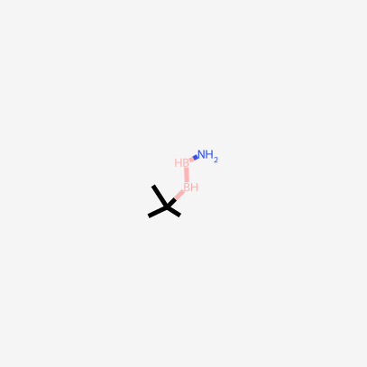 CC(C)(C)BBN